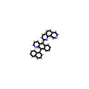 c1ccc2c(-c3c4ccccc4c(-c4ccc5ccc6ccncc6c5n4)c4cccnc34)cccc2c1